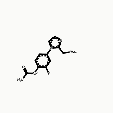 CNCc1nccn1-c1ccc(NC(N)=O)c(F)c1